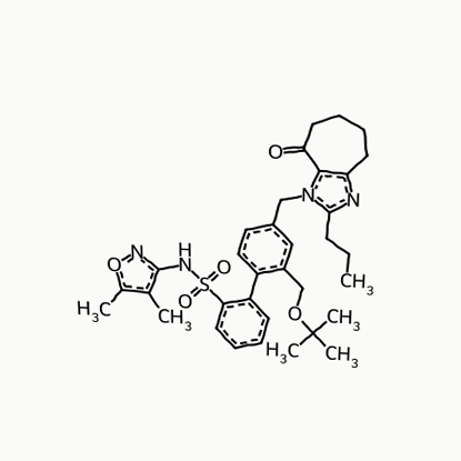 CCCc1nc2c(n1Cc1ccc(-c3ccccc3S(=O)(=O)Nc3noc(C)c3C)c(COC(C)(C)C)c1)C(=O)CCCC2